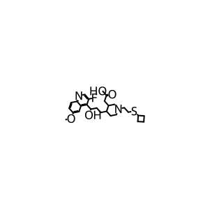 COc1ccc2ncc(F)c([C@H](O)CCC3CCN(CCSC4CCC4)CC3CC(=O)O)c2c1